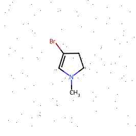 CN1[C]CC(Br)=C1